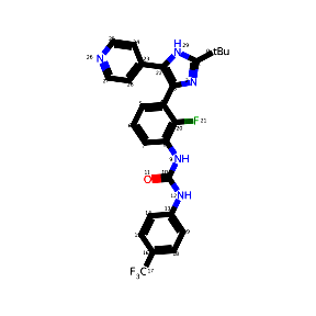 CC(C)(C)c1nc(-c2cccc(NC(=O)Nc3ccc(C(F)(F)F)cc3)c2F)c(-c2ccncc2)[nH]1